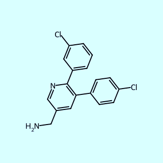 NCc1cnc(-c2cccc(Cl)c2)c(-c2ccc(Cl)cc2)c1